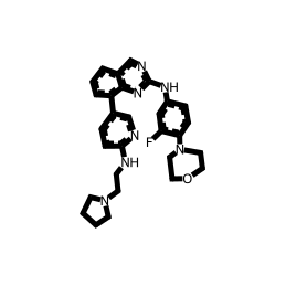 Fc1cc(Nc2ncc3cccc(-c4ccc(NCCN5CCCC5)nc4)c3n2)ccc1N1CCOCC1